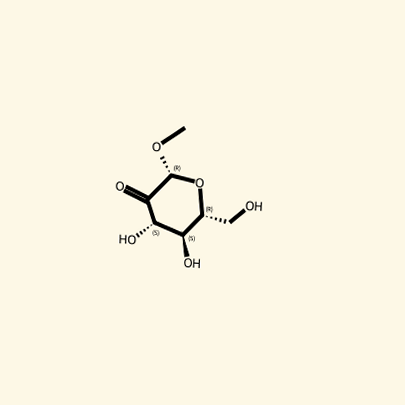 CO[C@@H]1O[C@H](CO)[C@@H](O)[C@H](O)C1=O